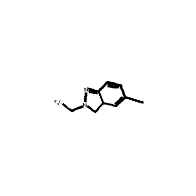 CC1=CC2CN(CC(F)(F)F)N=C2C=C1